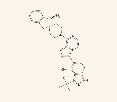 N[C@@H]1c2ccccc2CC12CCN(c1nccn3c(-c4ccc5[nH]nc(C(F)(F)F)c5c4Cl)ncc13)CC2